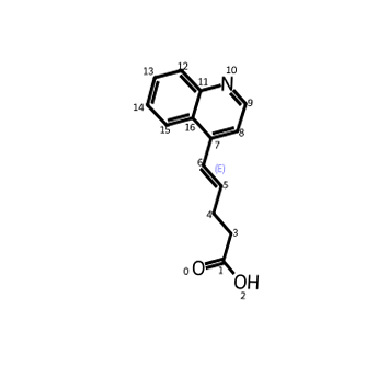 O=C(O)CC/C=C/c1ccnc2ccccc12